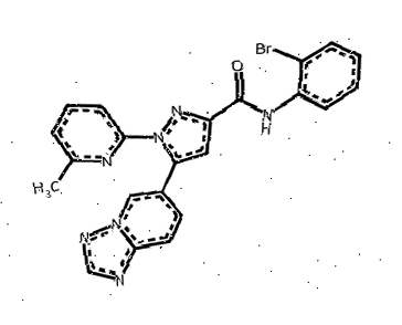 Cc1cccc(-n2nc(C(=O)Nc3ccccc3Br)cc2-c2ccc3ncnn3c2)n1